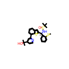 CSc1ccccc1[C@H](N[S+]([O-])C(C)(C)C)c1cc2cccc(-c3cc(C(C)(C)O)ccn3)c2s1